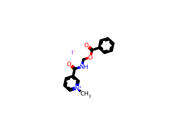 C[n+]1cccc(C(=O)NCOC(=O)c2ccccc2)c1.[I-]